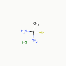 CC(N)(N)S.Cl